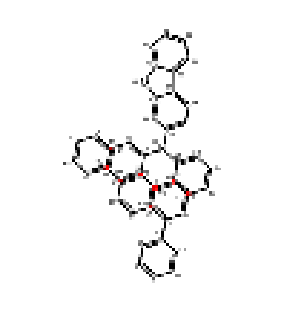 c1ccc(-c2cccc(-c3ccccc3N(c3ccc4c(c3)oc3ccccc34)c3ccccc3-c3cccc(-c4ccccc4)c3)c2)cc1